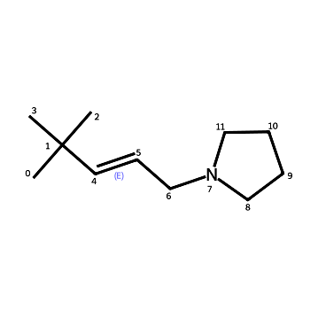 CC(C)(C)/C=C/CN1CCCC1